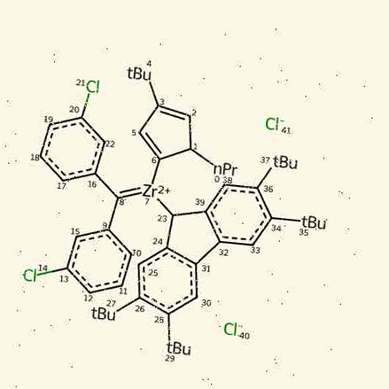 CCCC1C=C(C(C)(C)C)C=[C]1[Zr+2](=[C](c1cccc(Cl)c1)c1cccc(Cl)c1)[CH]1c2cc(C(C)(C)C)c(C(C)(C)C)cc2-c2cc(C(C)(C)C)c(C(C)(C)C)cc21.[Cl-].[Cl-]